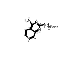 CCCCCNc1nc(N)c2ccncc2n1